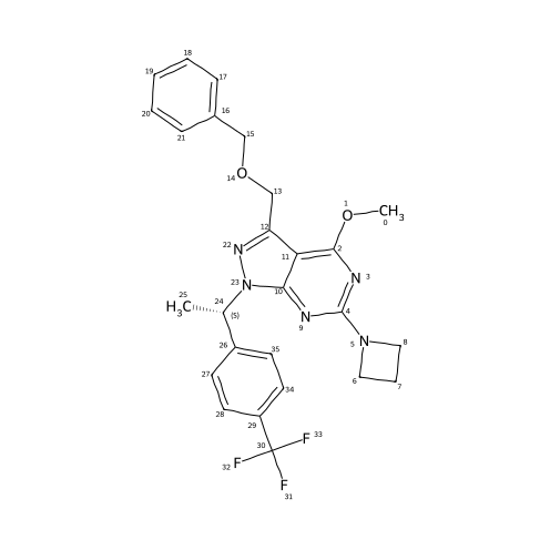 COc1nc(N2CCC2)nc2c1c(COCc1ccccc1)nn2[C@@H](C)c1ccc(C(F)(F)F)cc1